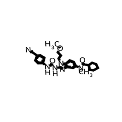 COCCCn1c(NC(=O)Nc2ccc(C#N)cc2)nc2cc(N(C)C(=O)C3CCCCC3)ccc21